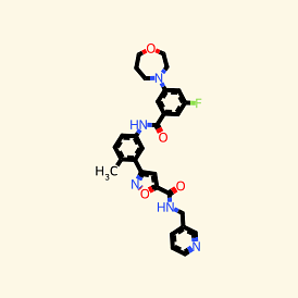 Cc1ccc(NC(=O)c2cc(F)cc(N3CCCOCC3)c2)cc1-c1cc(C(=O)NCc2cccnc2)on1